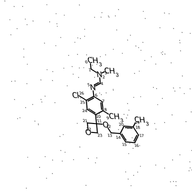 CCN(C)C=Nc1cc(C)c(C2(OCc3cccc(C)c3)COC2)cc1Cl